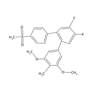 COc1cc(-c2cc(F)c(F)cc2-c2ccc(S(C)(=O)=O)cc2)cc(OC)c1C